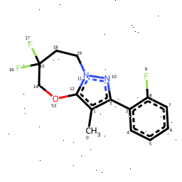 Cc1c(-c2ccccc2F)nn2c1OCC(F)(F)CC2